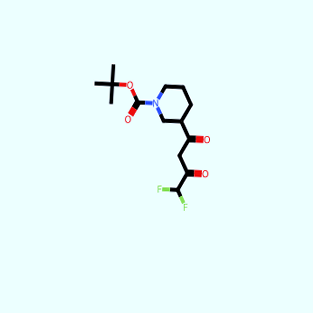 CC(C)(C)OC(=O)N1CCCC(C(=O)CC(=O)C(F)F)C1